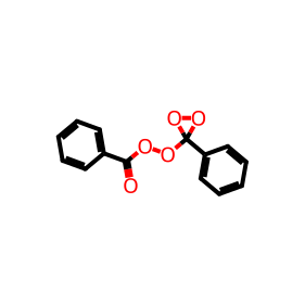 O=C(OOC1(c2ccccc2)OO1)c1ccccc1